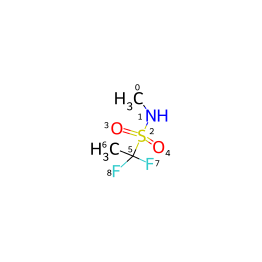 CNS(=O)(=O)C(C)(F)F